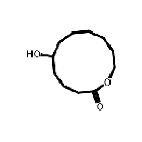 O=C1CCCC(O)CCCCCCO1